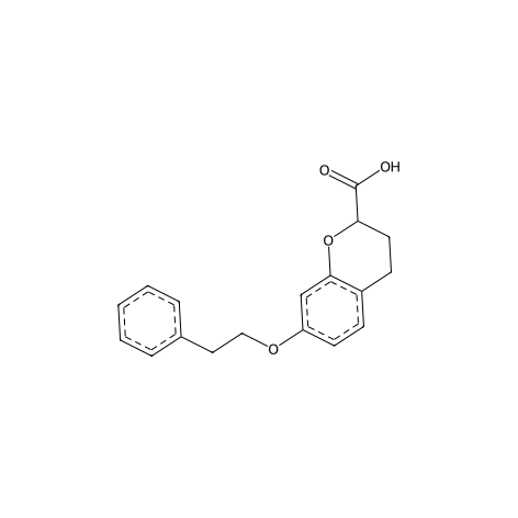 O=C(O)C1CCc2ccc(OCCc3ccccc3)cc2O1